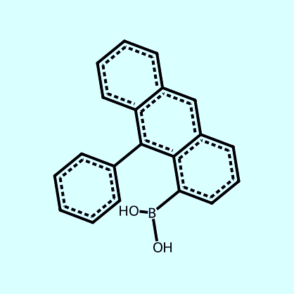 OB(O)c1cccc2cc3ccccc3c(-c3ccccc3)c12